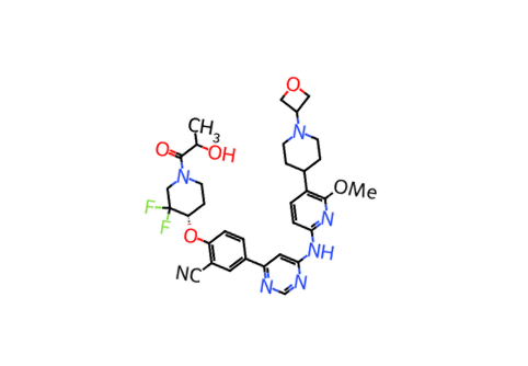 COc1nc(Nc2cc(-c3ccc(O[C@H]4CCN(C(=O)C(C)O)CC4(F)F)c(C#N)c3)ncn2)ccc1C1CCN(C2COC2)CC1